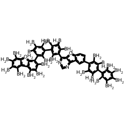 Bc1c(B)c(B)c(-c2c(B)c(B)c(-c3ccc4oc5c(-c6c(B)c(B)c(B)c(-c7c(B)c(B)c(B)c(-c8c(B)c(B)c(B)c9c8oc8c(B)c(B)c(B)c(B)c89)c7B)c6B)ncnc5c4c3)c(B)c2B)c(B)c1B